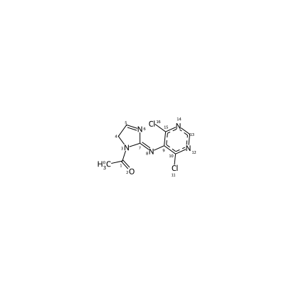 CC(=O)N1CC=NC1=Nc1c(Cl)ncnc1Cl